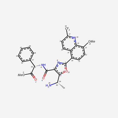 COC(=O)[C@@H](NC(=O)c1nc(-c2ccc(OC)c3nc(C(F)(F)F)ccc23)oc1[C@H](C)N)c1ccccc1